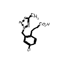 Cc1nnn(Cc2cc(Cl)ccc2CCC(=O)O)n1